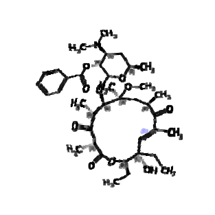 CC[C@H]1OC(=O)[C@H](C)C(=O)[C@H](C)[C@@H](OC2O[C@H](C)C[C@H](N(C)C)[C@H]2OC(=O)c2ccccc2)[C@@](C)(OC)C[C@@H](C)C(=O)/C(C)=C/[C@@]1(O)CC